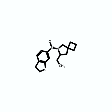 CCC1CC2(CCC2)CN1[S+]([O-])c1ccc2c(c1)SCC2